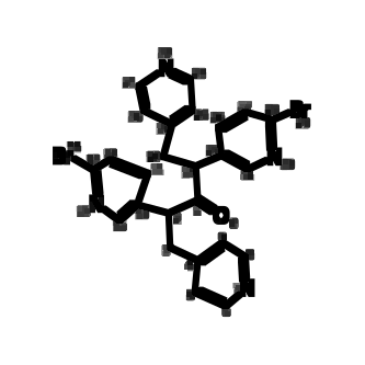 O=C(C(Cc1ccncc1)c1ccc(Br)nc1)C(Cc1ccncc1)c1ccc(Br)nc1